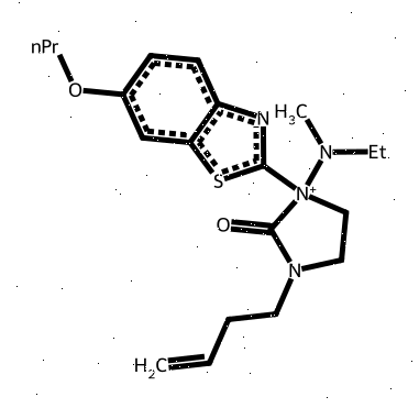 C=CCCN1CC[N+](c2nc3ccc(OCCC)cc3s2)(N(C)CC)C1=O